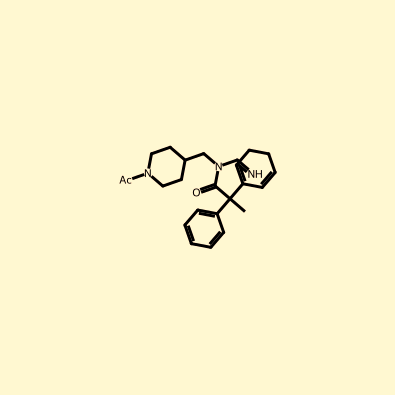 CC(=O)N1CCC(CN(C=N)C(=O)C(C)(C2=CCCC=C2)c2ccccc2)CC1